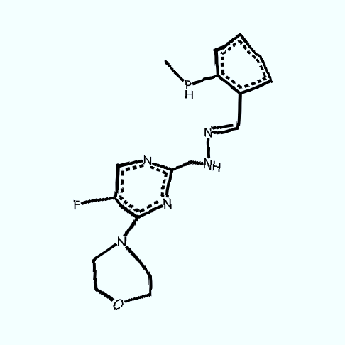 CPc1ccccc1/C=N/Nc1ncc(F)c(N2CCOCC2)n1